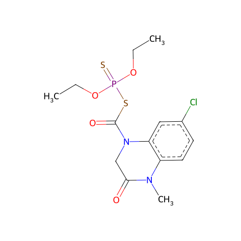 CCOP(=S)(OCC)SC(=O)N1CC(=O)N(C)c2ccc(Cl)cc21